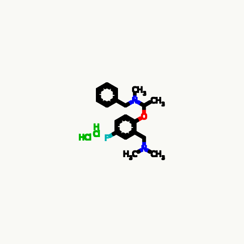 CC(Oc1ccc(F)cc1CN(C)C)N(C)Cc1ccccc1.Cl.Cl